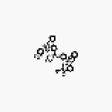 O=C(NC1CC1)c1cccc(N(Cc2ccccc2)S(=O)(=O)c2ccccc2)c1.O=C(c1cccc(N(Cc2ccccc2)S(=O)(=O)c2ccc3c(c2)OCO3)c1)N1CCOCC1